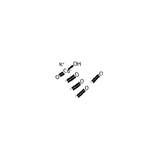 [C]=O.[C]=O.[C]=O.[C]=O.[K+].[O]=[Co-][OH]